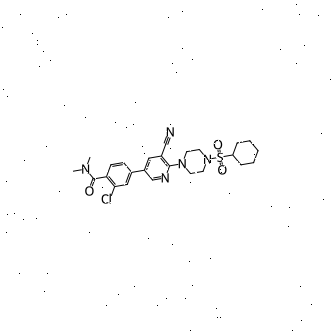 CN(C)C(=O)c1ccc(-c2cnc(N3CCN(S(=O)(=O)C4CCCCC4)CC3)c(C#N)c2)cc1Cl